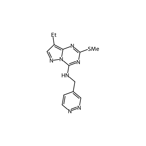 CCc1cnn2c(NCc3ccnnc3)nc(SC)nc12